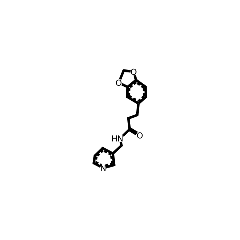 O=C(CCc1ccc2c(c1)OCO2)NCc1cccnc1